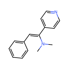 CN(C)C(=Cc1ccccc1)c1ccncc1